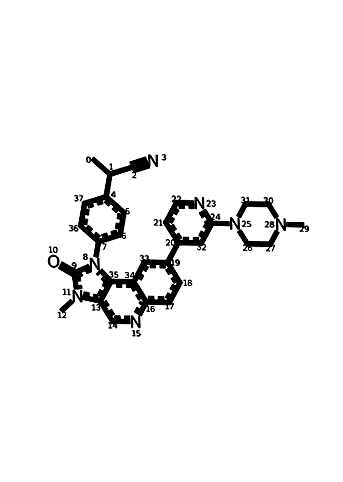 CC(C#N)c1ccc(-n2c(=O)n(C)c3cnc4ccc(-c5ccnc(N6CCN(C)CC6)c5)cc4c32)cc1